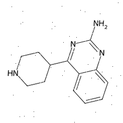 Nc1nc(C2CCNCC2)c2ccccc2n1